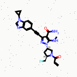 C=CC(=O)N1C[C@@H](n2nc(C#Cc3ccc4c(c3)ncn4C3CC3)c(C(N)=O)c2NC)C[C@@H]1CF